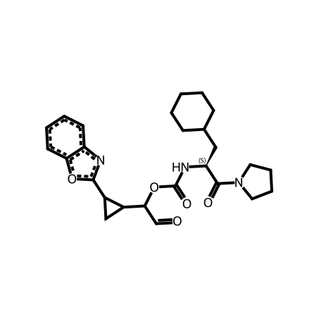 O=CC(OC(=O)N[C@@H](CC1CCCCC1)C(=O)N1CCCC1)C1CC1c1nc2ccccc2o1